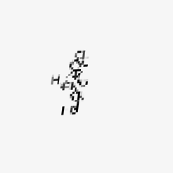 Cn1c(C(=O)Nc2ccc(CO)nc2)cc2c(Cl)c(Cl)ccc21